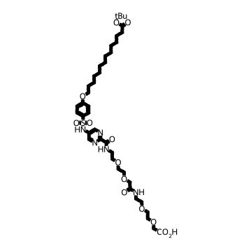 CC(C)(C)OC(=O)CCCCCCCCCCCCCOc1ccc(S(=O)(=O)Nc2cnc(C(=O)NCCOCCOCC(=O)NCCOCCOCC(=O)O)nc2)cc1